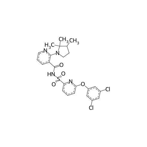 CC1CCN(c2ncccc2C(=O)NS(=O)(=O)c2cccc(Oc3cc(Cl)cc(Cl)c3)n2)C1(C)C